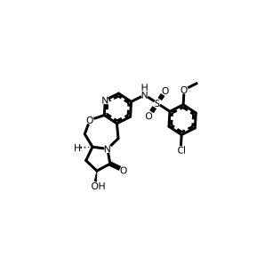 COc1ccc(Cl)cc1S(=O)(=O)Nc1cnc2c(c1)CN1C(=O)[C@@H](O)C[C@H]1CO2